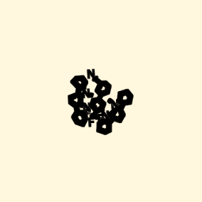 Cn1c2ccccc2c2ccc3c4ccccc4n(-c4cc(-c5cccc(C#N)c5)cc(-n5c6ccccc6c6ccc7c8ccccc8n(C)c7c65)c4C(F)(F)F)c3c21